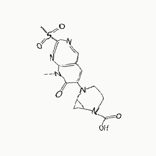 Cn1c(=O)c(N2CCN(C(=O)O)C3CC32)cc2cnc(S(C)(=O)=O)nc21